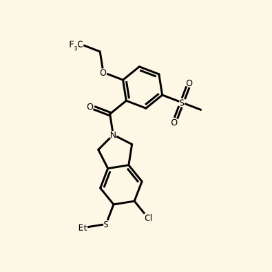 CCSC1C=C2CN(C(=O)c3cc(S(C)(=O)=O)ccc3OCC(F)(F)F)CC2=CC1Cl